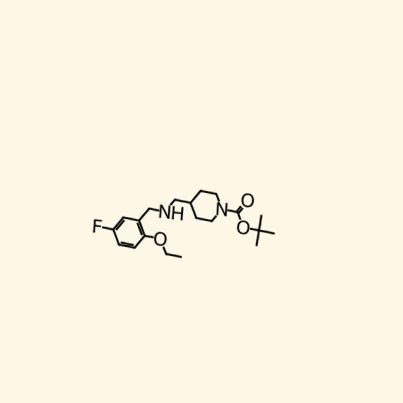 CCOc1ccc(F)cc1CNCC1CCN(C(=O)OC(C)(C)C)CC1